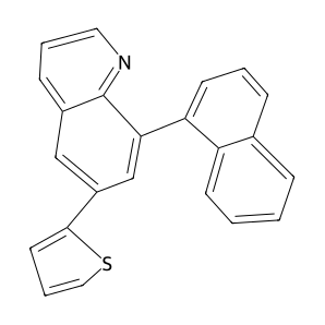 c1csc(-c2cc(-c3cccc4ccccc34)c3ncccc3c2)c1